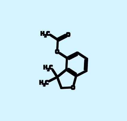 CC(=O)Oc1cccc2c1C(C)(C)CO2